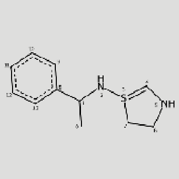 CC(NS1=CNCC1)c1ccccc1